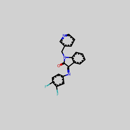 O=C1C(=Nc2ccc(F)c(F)c2)c2ccccc2N1Cc1cccnc1